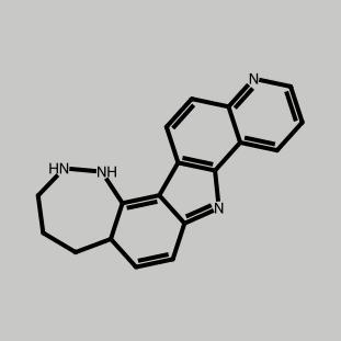 C1=CC2CCCNNC2=C2C1=Nc1c2ccc2ncccc12